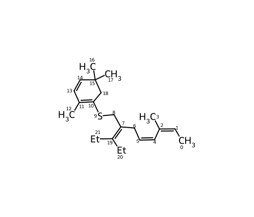 C/C=C(C)\C=C/CC(CSC1=C(C)C=CC(C)(C)C1)=C(CC)CC